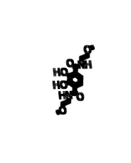 COCCNC(=O)c1ccc(C(=O)NCCOC)c(O)c1O